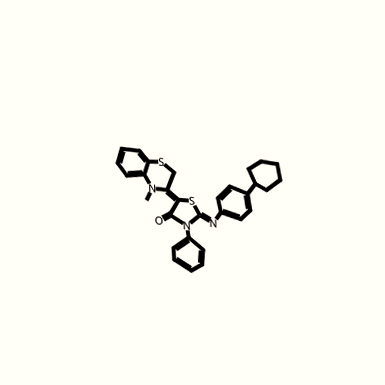 CN1/C(=C2/SC(=Nc3ccc(C4CCCCC4)cc3)N(c3ccccc3)C2=O)CSc2ccccc21